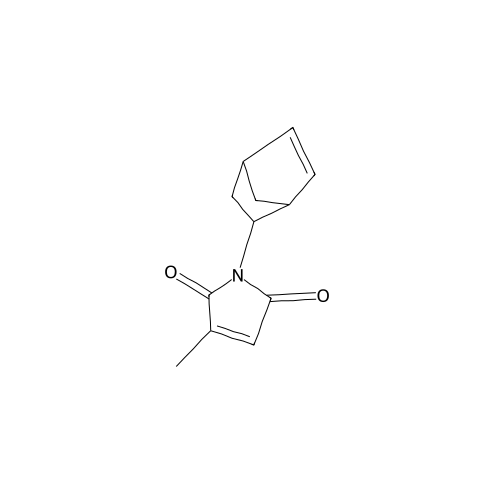 CC1=CC(=O)N(C2CC3C=CC2C3)C1=O